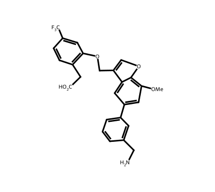 COc1cc(-c2cccc(CN)c2)cc2c(COc3cc(C(F)(F)F)ccc3CC(=O)O)coc12